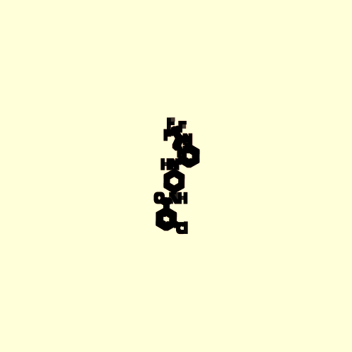 O=C(N[C@H]1CC[C@@H](Nc2cccc3nc(C(F)(F)F)cn23)CC1)c1cccc(Cl)c1